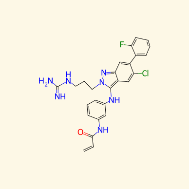 C=CC(=O)Nc1cccc(Nc2c3cc(Cl)c(-c4ccccc4F)cc3nn2CCCNC(=N)N)c1